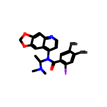 COc1cc(I)c(C(=O)N(c2ccnc3cc4c(cc23)OCO4)C(C)N(C)C)cc1OC